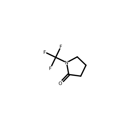 O=C1CCCN1C(F)(F)F